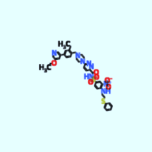 CCOc1cncc(-c2ccc(CN3CCN(c4ccc(C(=O)NS(=O)(=O)c5ccc(NCCSc6ccccc6)c([N+](=O)[O-])c5)nn4)CC3)c(CC)c2)c1